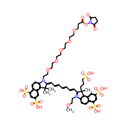 COCC[N+]1=C(/C=C/C=C/C=C/C=C2/N(CCOCCOCCOCCOCCOCCC(=O)ON3C(=O)CCC3=O)c3ccc4c(S(=O)(=O)[O-])cc(S(=O)(=O)O)cc4c3C2(C)C)C(C)(CCCS(=O)(=O)O)c2c1ccc1c(S(=O)(=O)O)cc(S(=O)(=O)O)cc21